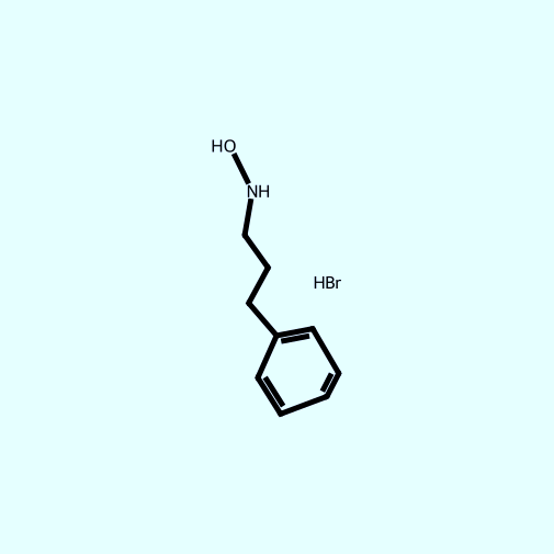 Br.ONCCCc1ccccc1